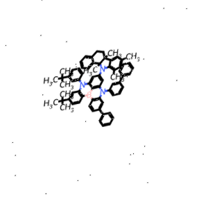 Cc1cc(C)c2c(c1)C1(C)CCc3ccccc3C1(C)N2c1cc2c3c(c1)N(c1cccc(C(C)(C)C)c1)c1cc(C(C)(C)C)ccc1B3c1ccc(-c3ccccc3)cc1N2c1cccc(-c2ccccc2)c1